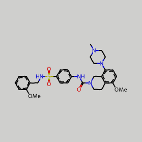 COc1ccccc1CNS(=O)(=O)c1ccc(NC(=O)N2CCc3c(OC)ccc(N4CCN(C)CC4)c3C2)cc1